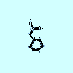 O=S(=O)=Cc1cc[c]cc1